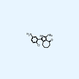 CCCCc1[nH]c(-c2cc(N)ccc2Cl)c2c1C(=O)CCCC2